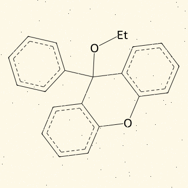 CCOC1(c2ccccc2)c2ccccc2Oc2ccccc21